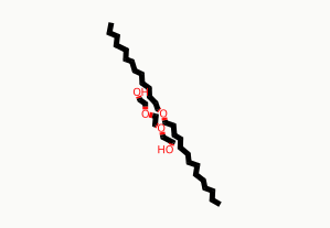 CCCCCCCCCCCCCCOCCCCCCCCCCCCCC.OCCOCCOCCO